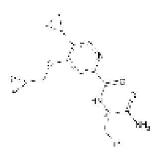 CC(C)C[C@H](NC(=O)c1cc(OCC2CC2)c(C2CC2)cn1)C(N)=O